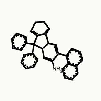 NC1=CC2C(C=C1c1cccc3ccccc13)C1=CCCC=C1C2(c1ccccc1)c1ccccc1